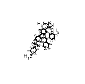 Cc1nnn(C)c1-c1cnc2c3ccc(S(=O)(=O)N4CCN(C)CC4)nc3n([C@H](c3ccccc3)C3CCOCC3)c2c1